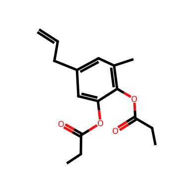 C=CCc1cc(C)c(OC(=O)CC)c(OC(=O)CC)c1